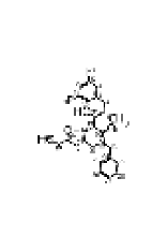 C[C@@H](Cc1cc(F)cc(F)c1)[C@H](O)[C@@H]1C[C@@H](CC(O)CO)CN(Cc2ccccc2)C1=O